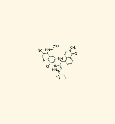 Cn1ccc2c([C@H](Nc3cc(Cl)c4ncc(C#N)c(NCC(C)(C)C)c4c3)C3=CN(C4(CF)CC4)NN3)cccc2c1=O